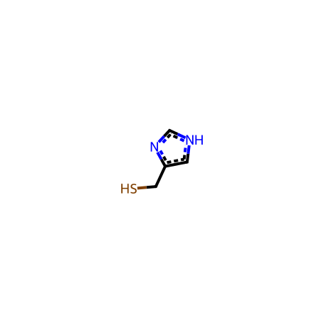 SCc1c[nH]cn1